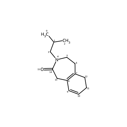 CC(C)CN1CCC2=C(C=CCC2)CC1=O